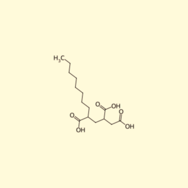 CCCCCCCCC(CC(CC(=O)O)C(=O)O)C(=O)O